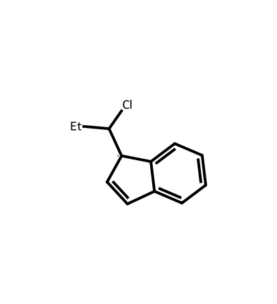 CCC(Cl)[C]1C=Cc2ccccc21